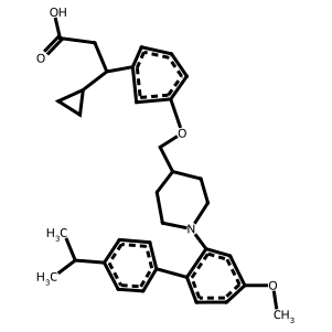 COc1ccc(-c2ccc(C(C)C)cc2)c(N2CCC(COc3cccc(C(CC(=O)O)C4CC4)c3)CC2)c1